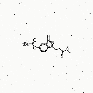 CN(C)C(=S)CCc1n[nH]c2cc(OC(=O)C(C)(C)C)ccc12